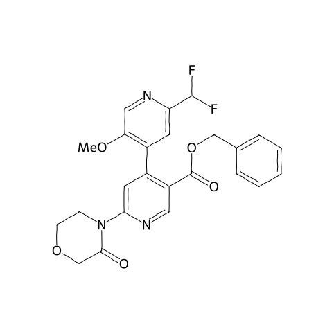 COc1cnc(C(F)F)cc1-c1cc(N2CCOCC2=O)ncc1C(=O)OCc1ccccc1